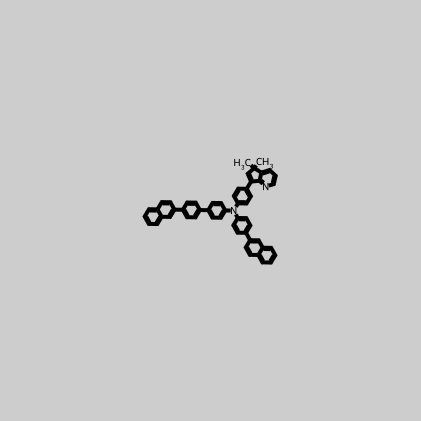 CC1(C)C=C(c2ccc(N(c3ccc(-c4ccc(-c5ccc6ccccc6c5)cc4)cc3)c3ccc(-c4ccc5ccccc5c4)cc3)cc2)c2ncccc21